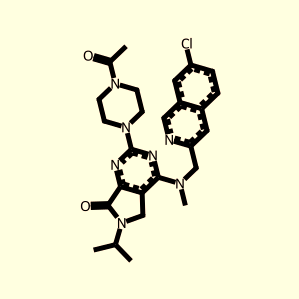 CC(=O)N1CCN(c2nc3c(c(N(C)Cc4cc5ccc(Cl)cc5cn4)n2)CN(C(C)C)C3=O)CC1